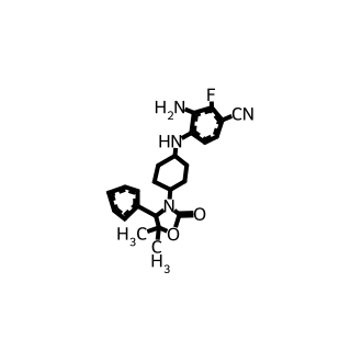 CC1(C)OC(=O)N(C2CCC(Nc3ccc(C#N)c(F)c3N)CC2)C1c1ccccc1